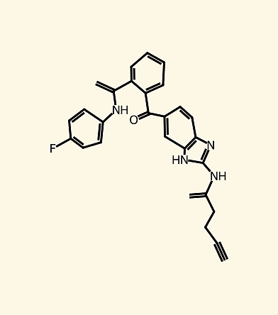 C#CCCC(=C)Nc1nc2ccc(C(=O)c3ccccc3C(=C)Nc3ccc(F)cc3)cc2[nH]1